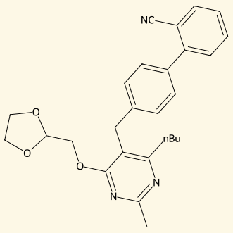 CCCCc1nc(C)nc(OCC2OCCO2)c1Cc1ccc(-c2ccccc2C#N)cc1